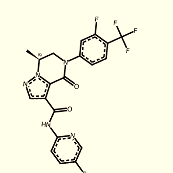 C[C@H]1CN(c2ccc(C(F)(F)F)c(F)c2)C(=O)c2c(C(=O)Nc3ccc(F)cn3)cnn21